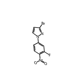 O=[N+]([O-])c1ccc(-n2ccc(Br)n2)cc1F